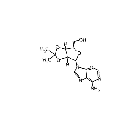 CC1(C)O[C@@H]2[C@H](O1)[C@@H]([CH]O)O[C@H]2n1cnc2c(N)ncnc21